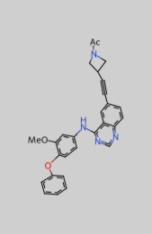 COc1cc(Nc2ncnc3ccc(C#CC4CN(C(C)=O)C4)cc23)ccc1Oc1ccccc1